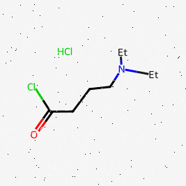 CCN(CC)CCCC(=O)Cl.Cl